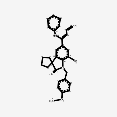 COc1ccc(CN2C(=O)C3(CCCC3)c3cc(/C(=C/C=N)Nc4ccccc4)cc(Br)c32)cc1